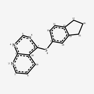 c1cnc2ncnc(Sc3ccc4c(c3)CCC4)c2c1